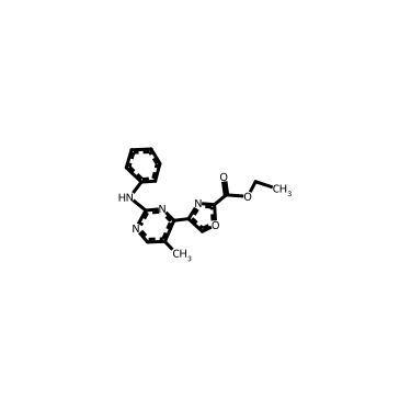 CCOC(=O)c1nc(-c2nc(Nc3ccccc3)ncc2C)co1